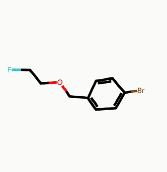 FCCOCc1ccc(Br)cc1